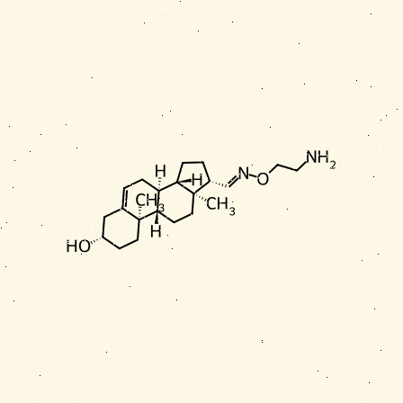 C[C@]12CC[C@H]3[C@@H](CC=C4C[C@@H](O)CC[C@@]43C)[C@@H]1CC[C@@H]2/C=N/OCCN